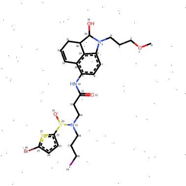 COCCCN1c2ccc(NC(=O)CCN(CCCI)[S+]([O-])c3ccc(Br)s3)c3c2C(CC=C3)C1O